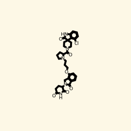 O=C1CCC(N2Cc3c(OCCCN4CCCC4C(=O)N4CCC5(CC4)C(=O)Nc4cccc(Cl)c45)cccc3C2=O)C(=O)N1